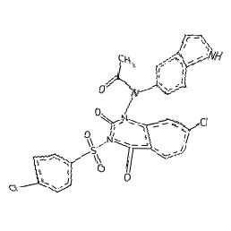 CC(=O)N(c1ccc2[nH]ccc2c1)n1c(=O)n(S(=O)(=O)c2ccc(Cl)cc2)c(=O)c2ccc(Cl)cc21